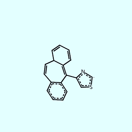 [c]1nc(C2=C3C=CC=CC3C=Cc3ccccc32)cs1